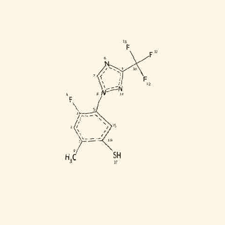 Cc1cc(F)c(-n2cnc(C(F)(F)F)n2)cc1S